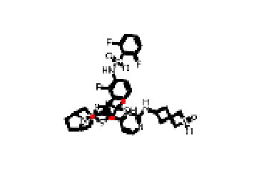 CC1(O)CC(N2CC3CCC(C2)N3c2nc(-c3cccc(NS(=O)(=O)c4c(F)cccc4F)c3F)c(-c3ccnc(NC4CC5(C4)CS(=O)(=O)C5)n3)s2)C1